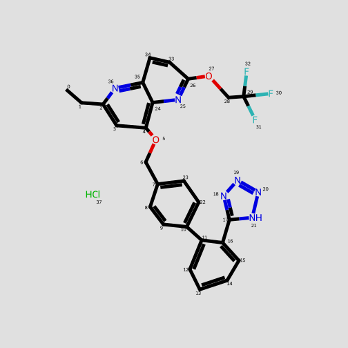 CCc1cc(OCc2ccc(-c3ccccc3-c3nnn[nH]3)cc2)c2nc(OCC(F)(F)F)ccc2n1.Cl